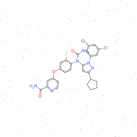 NC(=O)c1cc(Oc2ccc(N(C(N)=O)c3cc(C4CCCC4)nn3-c3cc(Cl)cc(Cl)c3)c(F)c2)ccn1